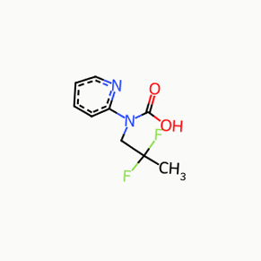 CC(F)(F)CN(C(=O)O)c1ccccn1